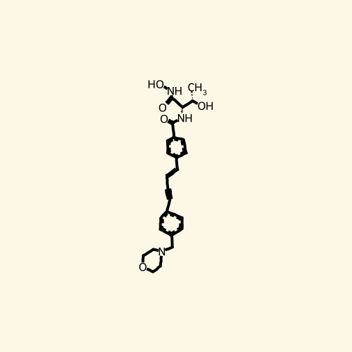 C[C@H](O)[C@H](NC(=O)c1ccc(/C=C/C#Cc2ccc(CN3CCOCC3)cc2)cc1)C(=O)NO